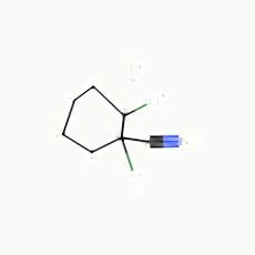 N#CC1(Cl)CCCCC1Cl.[Pt]